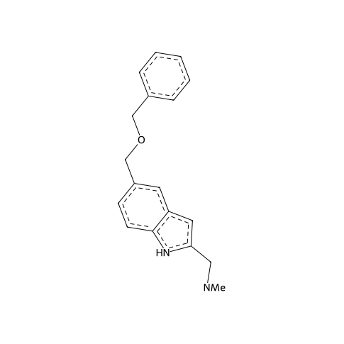 CNCc1cc2cc(COCc3ccccc3)ccc2[nH]1